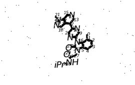 Cc1cccc2c1n(-c1cnc(-c3cncc4c3cnn4C)cn1)c(=O)n2CC(=O)NC(C)C